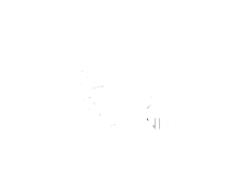 COC(=O)OC(C)(C)C[C@@H]1CNC(=O)C1